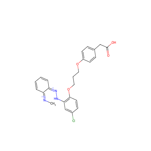 C/N=C1/C=CC=C/C1=N/Nc1cc(Cl)ccc1OCCCOc1ccc(CC(=O)O)cc1